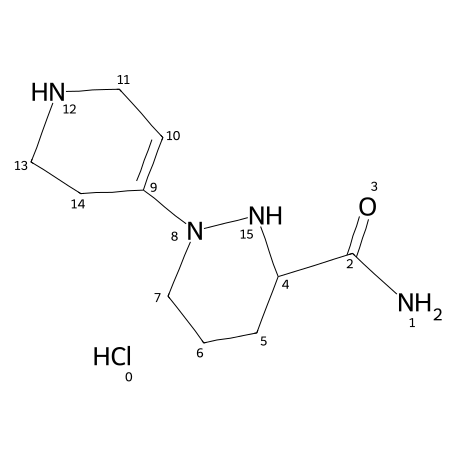 Cl.NC(=O)C1CCCN(C2=CCNCC2)N1